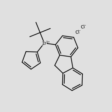 C[C](C)(C)[Zr+2]([C]1=CC=CC1)[c]1cccc2c1Cc1ccccc1-2.[Cl-].[Cl-]